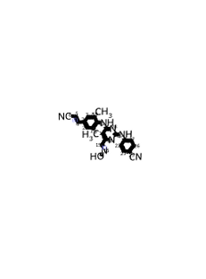 Cc1cc(/C=C/C#N)cc(C)c1Nc1cc(/C=N/O)nc(Nc2ccc(C#N)cc2)n1